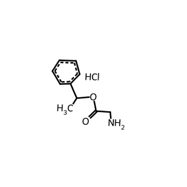 CC(OC(=O)CN)c1ccccc1.Cl